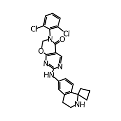 O=C1c2cnc(Nc3ccc4c(c3)CCNC43CCC3)nc2OCN1c1c(Cl)cccc1Cl